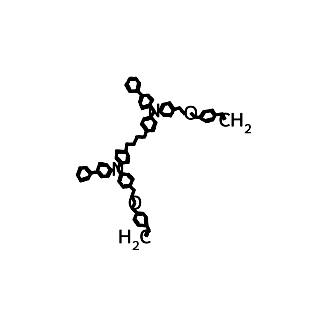 C=Cc1ccc(COCCc2ccc(N(c3ccc(CCCCc4ccc(N(c5ccc(CCOCc6ccc(C=C)cc6)cc5)c5ccc(-c6ccccc6)cc5)cc4)cc3)c3ccc(-c4ccccc4)cc3)cc2)cc1